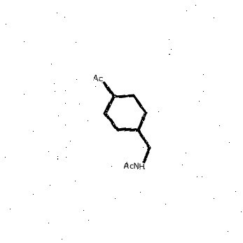 CC(=O)NCC1CCC(C(C)=O)CC1